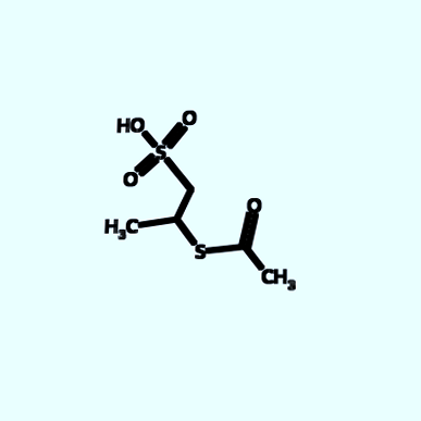 CC(=O)SC(C)CS(=O)(=O)O